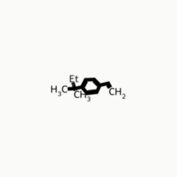 C=Cc1ccc(C(C)(C)CC)cc1